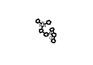 c1ccc(-c2nc(-c3ccccc3)nc(-c3cccc(-c4cccc(-n5c6ccccc6c6ccc7c8ccccc8oc7c65)c4)c3)n2)cc1